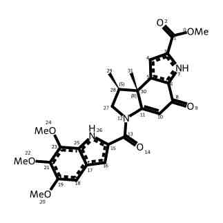 COC(=O)c1cc2c([nH]1)C(=O)C=C1N(C(=O)c3cc4cc(OC)c(OC)c(OC)c4[nH]3)C[C@@H](C)[C@@]12C